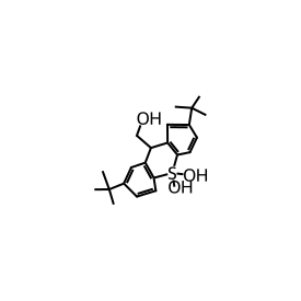 CC(C)(C)c1ccc2c(c1)C(CO)c1cc(C(C)(C)C)ccc1S2(O)O